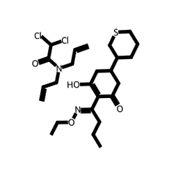 C=CCN(CC=C)C(=O)C(Cl)Cl.CCC/C(=N\OCC)C1=C(O)CC(C2CCCSC2)CC1=O